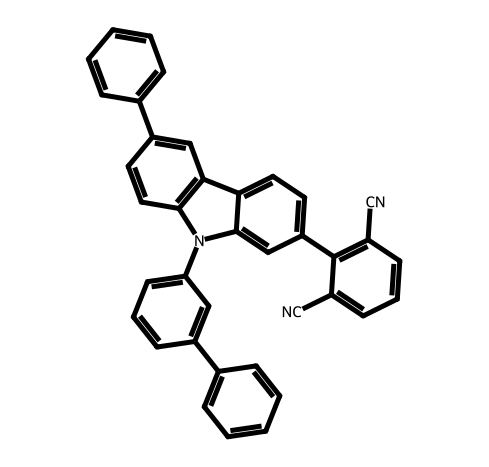 N#Cc1cccc(C#N)c1-c1ccc2c3cc(-c4ccccc4)ccc3n(-c3cccc(-c4ccccc4)c3)c2c1